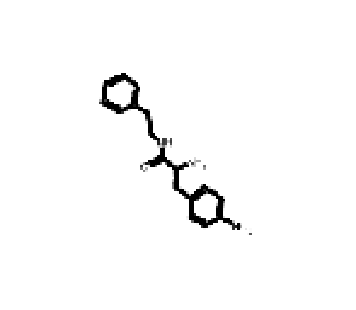 NC(Cc1ccc([N+](=O)[O-])cc1)C(=O)NCCc1ccccc1